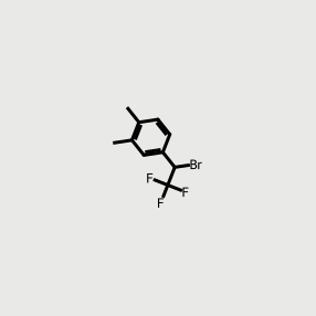 Cc1ccc(C(Br)C(F)(F)F)cc1C